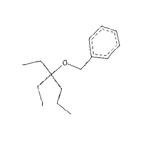 CCCC(CC)(CI)OCc1ccccc1